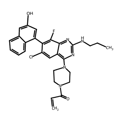 C=CC(=O)N1CCN(c2nc(NCCC)nc3c(F)c(-c4cc(O)cc5ccccc45)c(Cl)cc23)CC1